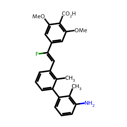 COc1cc(/C(F)=C/c2cccc(-c3cccc(N)c3C)c2C)cc(OC)c1C(=O)O